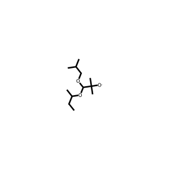 CCC(C)OC(OCC(C)C)C(C)(C)[O]